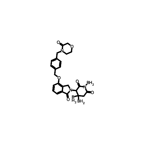 BN1C(=O)CC(B)(B)C(N2Cc3c(OCc4ccc(CN5CCOCC5=O)cc4)cccc3C2=O)C1=O